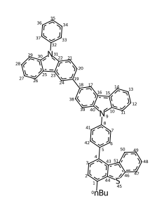 CCCCc1ccc(-c2ccc(-n3c4ccccc4c4cc(-c5ccc6c(c5)c5ccccc5n6-c5ccccc5)ccc43)cc2)c2c1sc1ccccc12